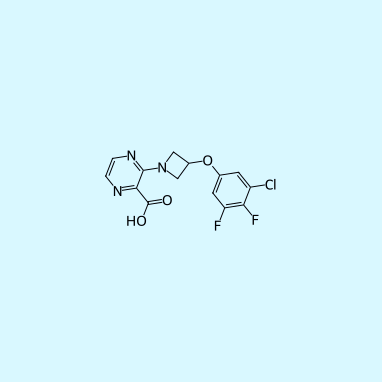 O=C(O)c1nccnc1N1CC(Oc2cc(F)c(F)c(Cl)c2)C1